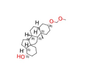 COCO[C@@H]1CC[C@@]2(C)[C@@H](CC[C@H]3[C@@H]4CC[C@@H]5[C@@H](O)CCCC54CC[C@@H]32)C1